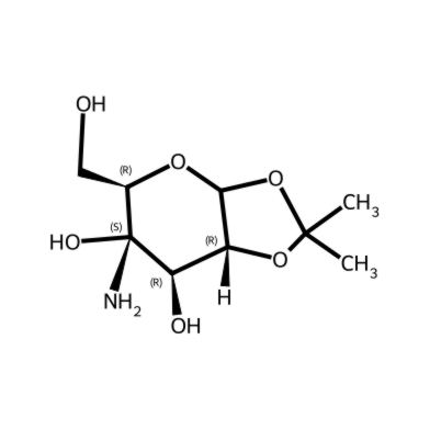 CC1(C)OC2O[C@H](CO)[C@@](N)(O)[C@H](O)[C@H]2O1